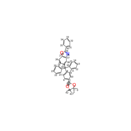 CC1(C)OB(c2ccc3c(c2)-c2ccccc2C3(c2ccccc2)c2ccc3oc(-c4ccccc4)nc3c2)OC1(C)C